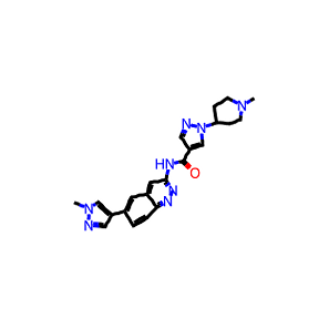 CN1CCC(n2cc(C(=O)Nc3cc4cc(-c5cnn(C)c5)ccc4nn3)cn2)CC1